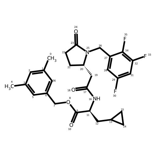 Cc1cc(C)cc(COC(=O)[C@H](CC2CC2)NC(=O)C[C@@H]2CCC(=O)N2Cc2cc(F)cc(F)c2F)c1